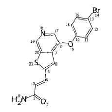 NC(=O)C=Cc1cc2c(Oc3ccc(Br)cc3)cncc2s1